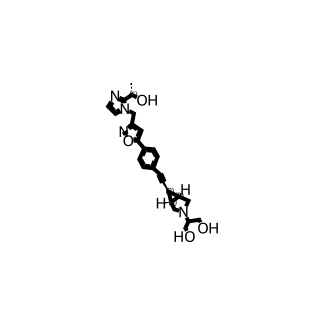 C[C@H](O)c1nccn1Cc1cc(-c2ccc(C#C[C@H]3[C@H]4CN(C(CO)CO)C[C@@H]34)cc2)on1